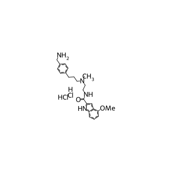 COc1cccc2[nH]c(C(=O)NCCN(C)CCCc3ccc(CN)cc3)cc12.Cl.Cl